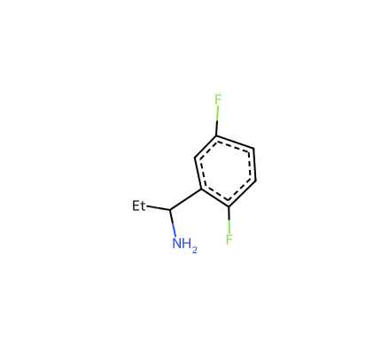 CCC(N)c1cc(F)ccc1F